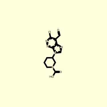 O=Cc1c(Cl)nnc2c1ncn2C1CCCN(C(=O)O)C1